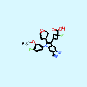 COc1cc(-n2c(C3CCOCC3)c(C3CC(F)(C(=O)O)C3)c3cc4[nH]ncc4cc32)ccc1F